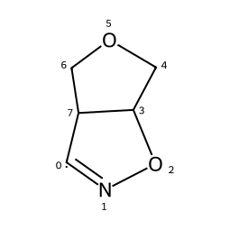 [C]1=NOC2COCC12